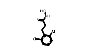 ONC(=S)CCc1c(Cl)cccc1Cl